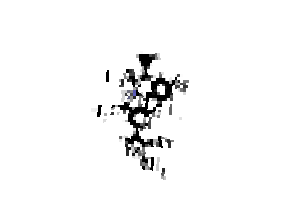 C=C(/N=C(\Nc1ccc(SF)cc1)N(C)CC1CC1)c1cc(C)nc(-c2cnn(C)c2CCC)c1